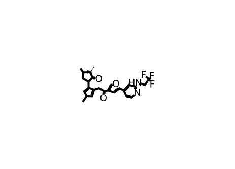 CC1C=C(CC(=O)c2coc(-c3ccnc(NCC(F)(F)F)c3)c2)C(C2CC(C)[C@H](C)C2=O)=C1